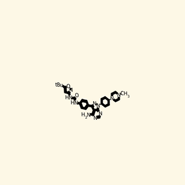 CN1CCN([C@H]2CC[C@@H](n3nc(-c4ccc(NC(=O)Nc5cc(C(C)(C)C)on5)cc4)c4c(N)ncnc43)CC2)CC1